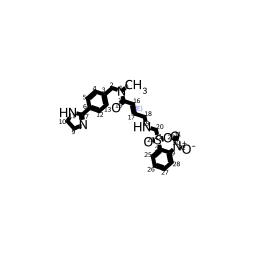 CN(Cc1ccc(C2=NCCN2)cc1)C(=O)/C=C/CNCS(=O)(=O)c1ccccc1[N+](=O)[O-]